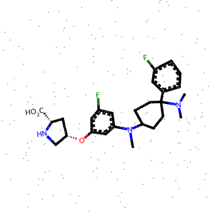 CN(c1cc(F)cc(O[C@@H]2CN[C@H](C(=O)O)C2)c1)C1CCC(c2cccc(F)c2)(N(C)C)CC1